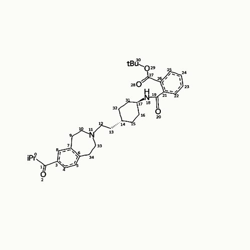 CC(C)C(=O)c1ccc2c(c1)CCN(CC[C@H]1CC[C@H](NC(=O)c3ccccc3C(=O)OC(C)(C)C)CC1)CC2